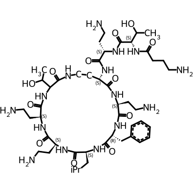 CC(C)C[C@@H]1NC(=O)[C@@H](Cc2ccccc2)NC(=O)[C@H](CCN)NC(=O)[C@@H](NC(=O)[C@H](CCN)NC(=O)[C@@H](NC(=O)CCCN)C(C)O)CCNC(=O)C(C(C)O)NC(=O)[C@H](CCN)NC(=O)[C@H](CCN)NC1=O